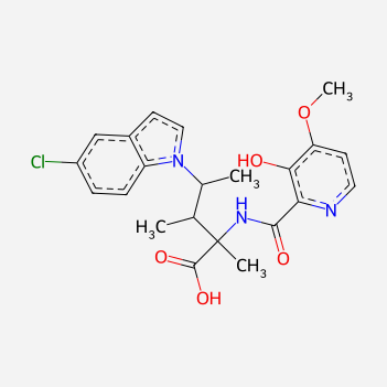 COc1ccnc(C(=O)NC(C)(C(=O)O)C(C)C(C)n2ccc3cc(Cl)ccc32)c1O